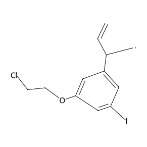 [CH2]C(C=C)c1cc(I)cc(OCCCl)c1